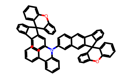 c1ccc(-c2ccccc2N(c2ccc3c(c2)C2(c4ccccc4Oc4ccccc42)c2ccccc2-3)c2ccc3cc4c(cc3c2)C2(c3ccccc3Oc3ccccc32)c2ccccc2-4)cc1